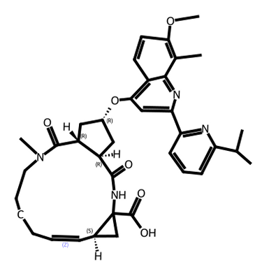 COc1ccc2c(O[C@@H]3C[C@H]4C(=O)NC5(C(=O)O)C[C@H]5/C=C\CCCCN(C)C(=O)[C@@H]4C3)cc(-c3cccc(C(C)C)n3)nc2c1C